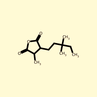 CCC(C)(C)CCC1C(=O)OC(=O)C1C